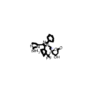 Nc1nccc(-c2nc(-c3ccccc3)n(/C=C/[C@@H]3C[C@@H](O)CC(=O)O3)c2-c2cccc(C(F)(F)F)c2)n1